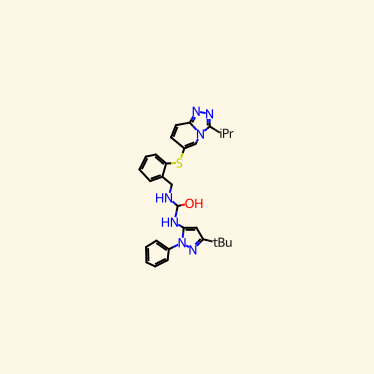 CC(C)c1nnc2ccc(Sc3ccccc3CNC(O)Nc3cc(C(C)(C)C)nn3-c3ccccc3)cn12